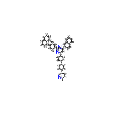 c1cncc(-c2ccc(-c3ccc(-c4cc(-c5ccc6ccccc6c5)nc(-c5ccc(-c6cccc7ccccc67)cc5)n4)cc3)cc2)c1